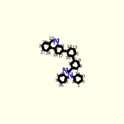 c1ccc(-n2c(-c3cccc(-c4cccc(-c5ccc6c(c5)ncc5ccccc56)c4)c3)nc3ccccc32)cc1